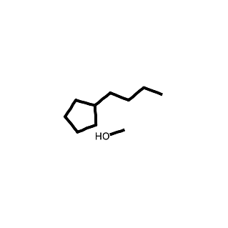 CCCCC1CCCC1.CO